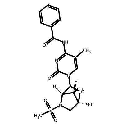 CC[C@@]12CN(S(C)(=O)=O)[C@@H](C(n3cc(C)c(NC(=O)c4ccccc4)nc3=O)O1)[C@@H]2C